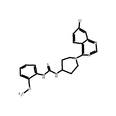 FC(F)(F)Oc1ccccc1NC(=S)NC1CCN(c2ncnc3cc(Cl)ccc23)CC1